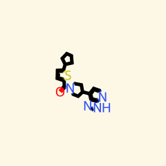 O=C(c1ccc(C2CCCC2)s1)N1CCC(c2ccnc3[nH]cnc23)CC1